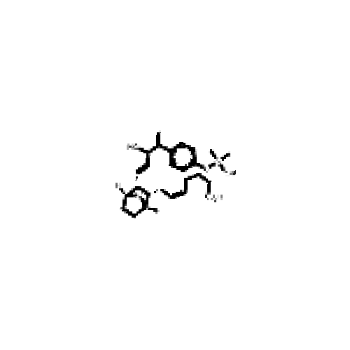 CC(c1ccc(O[Si](C)(C)C(C)(C)C)cc1)C(O)/C=C/[C@@H]1[C@H](C/C=C\CCCC(=O)O)[C@@H]2CC[C@H]1O2